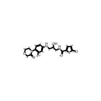 O=C(NCC(O)C[AsH]c1ccc(N2CCOCC2=O)c(F)c1)c1ccc(Cl)s1